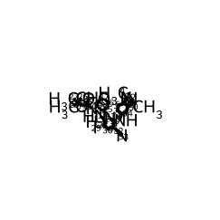 Cc1nn(C)c2ccc(Nc3nc(N[C@@H]4CCOC[C@@H]4NC(=O)OC(C)(C)C)c(F)cc3C#N)cc12